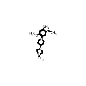 CC[C@H]1CC(N2CCC(N3CCN(C)CC3)CC2)=C(OC)C=C1N